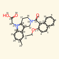 CCOc1ccc2ccccc2c1C(=O)N1CCc2c(c3cc(C)ccc3n2CC(=O)O)C1